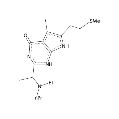 CCCN(CC)C(C)c1nc(=O)c2c(C)c(CCSC)[nH]c2[nH]1